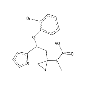 CN(C(=O)O)C1(CC(Oc2ccccc2Br)c2cccs2)CC1